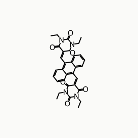 CCN1C(=O)C(=Cc2c3ccccc3c(C=C3C(=O)N(CC)C(=O)N(CC)C3=O)c3ccccc23)C(=O)N(CC)C1=O